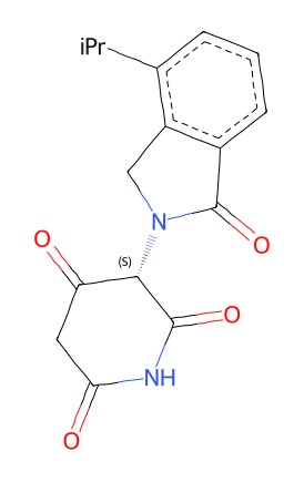 CC(C)c1cccc2c1CN([C@H]1C(=O)CC(=O)NC1=O)C2=O